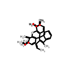 C=CC(=C)/C=C\C1=C(C(=C)C=C)OC(C(=C)C=C)=C(/C=C\C(=C)C=C)C12C(/C=C\C)=C(C)c1ccccc12